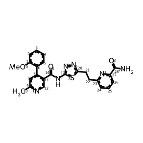 COc1ccccc1-c1cc(C)ncc1C(=O)Nc1nnc(CCc2cccc(C(N)=O)n2)s1